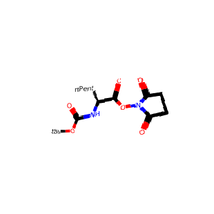 CCCCC[C@H](NC(=O)OC(C)(C)C)C(=O)ON1C(=O)CCC1=O